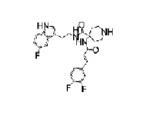 O=C(C=Cc1ccc(F)c(F)c1)NC1(C(=O)NCCc2c[nH]c3ccc(F)cc23)CCNCC1